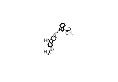 COc1ccc2[nH]c3c(c2c1)CCN(CCCn1cc(C(C)=O)c2ccccc21)C3